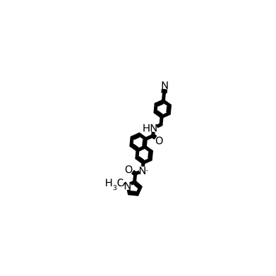 Cn1cccc1C(=O)[N]c1ccc2c(C(=O)NCc3ccc(C#N)cc3)cccc2c1